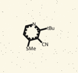 CSc1ccnc(C(C)(C)C)c1C#N